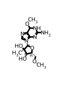 COC[C@H]1O[C@@H](n2cnc3c2N=C(N)NC3OC)[C@](C)(O)[C@@H]1O